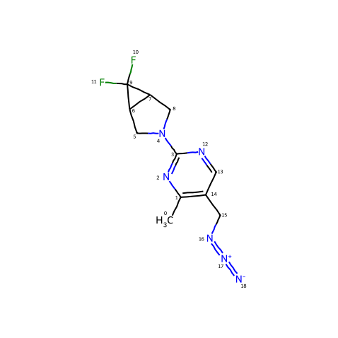 Cc1nc(N2CC3C(C2)C3(F)F)ncc1CN=[N+]=[N-]